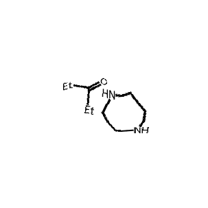 C1CNCCN1.CCC(=O)CC